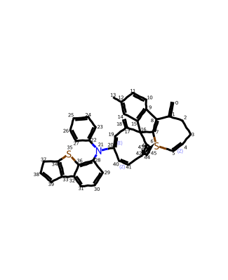 C=C1CC/C=C\SC2=C1c1ccc(C)cc1C21C(=C)/C=C(N(c2ccccc2)c2cccc3c4c(sc23)CC=C4)\C=C/c2ccccc21